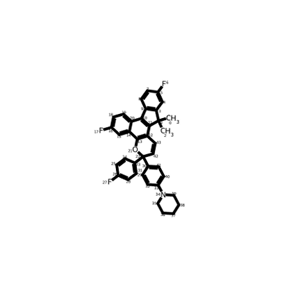 CC1(C)c2cc(F)ccc2-c2c1c1c(c3cc(F)ccc23)OC(c2ccc(F)cc2)(c2ccc(N3CCCCC3)cc2)C=C1